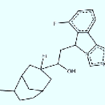 CCC1(C(O)CC2c3c(F)cccc3-c3cncn32)CC2CCC(C)C(C2)C1